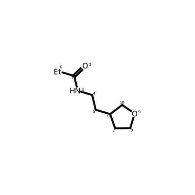 CCC(=O)NCCC1CCOC1